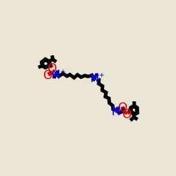 Cc1ccc(C(C)C)c(OC(=O)C[N+](C)(C)CCCCCCCCCC[N+](C)(C)CCCCCCCCCC[N+](C)(C)C(=O)Oc2cc(C)ccc2C(C)C)c1